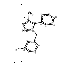 Cc1n[nH]c(Cc2cccc(F)c2)c1-c1ccncc1